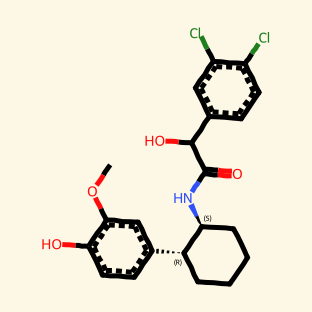 COc1cc([C@H]2CCCC[C@@H]2NC(=O)C(O)c2ccc(Cl)c(Cl)c2)ccc1O